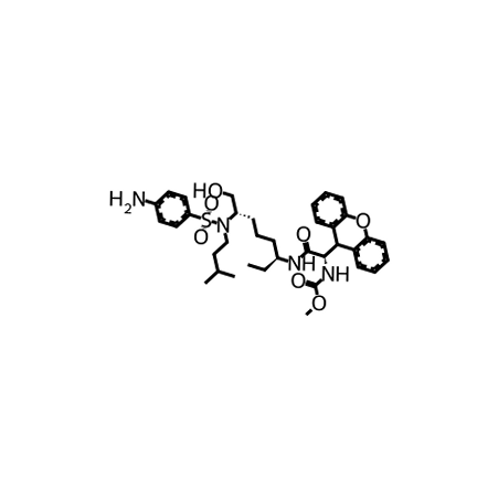 CC[C@@H](CCC[C@@H](CO)N(CCC(C)C)S(=O)(=O)c1ccc(N)cc1)NC(=O)[C@@H](NC(=O)OC)C1c2ccccc2Oc2ccccc21